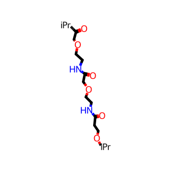 CC(C)OCCC(=O)NCCOCC(=O)NCCOCC(=O)C(C)C